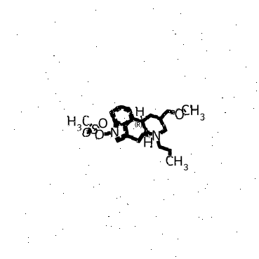 CCCN1CC(COC)C[C@@H]2c3cccc4c3c(cn4OS(C)(=O)=O)C[C@H]21